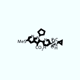 CSc1cnc2c(c1)c(C(=O)O)c(-c1ccc(S(=O)(=O)NC3(C(F)(F)F)CC3)cn1)n2C1CCCC1